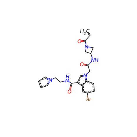 C=CC(=O)N1CC(NC(=O)Cn2cc(C(=O)NCCn3cccc3)c3cc(Br)ccc32)C1